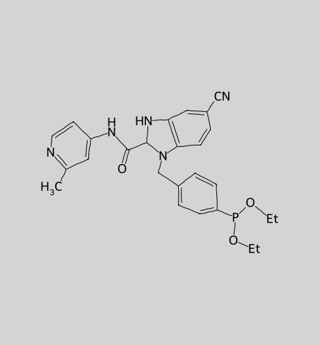 CCOP(OCC)c1ccc(CN2c3ccc(C#N)cc3NC2C(=O)Nc2ccnc(C)c2)cc1